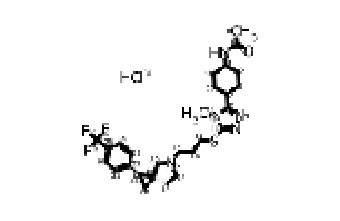 CC(=O)NC1CCC(c2nnc(SCCCN3CC[C@@]4(C[C@H]4c4ccc(C(F)(F)F)cc4)C3)n2C)CC1.Cl